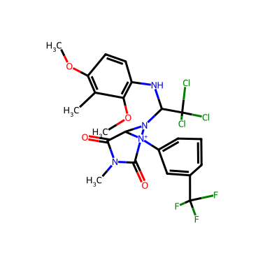 COc1ccc(NC(N2C3C(=O)N(C)C(=O)[N+]32c2cccc(C(F)(F)F)c2)C(Cl)(Cl)Cl)c(OC)c1C